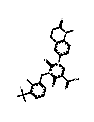 Cc1c(Cn2c(=O)c(C(=O)O)cn(-c3ccc4c(c3)CCC(=O)N4C)c2=O)cccc1C(F)(F)F